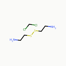 ClCCl.NCCSSCCN